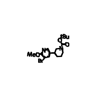 COc1ncc(C2CCCN(C(=O)OC(C)(C)C)C2)cc1Br